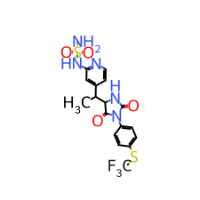 CC(c1ccnc(NS(N)(=O)=O)c1)C1NC(=O)N(c2ccc(SC(F)(F)F)cc2)C1=O